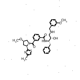 COc1cccc(CNC[C@H](O)[C@H](Cc2ccccc2)NC(=O)c2cccc(C(=O)N3C[C@H](OC)C[C@@H]3c3nc(C)cs3)c2)c1